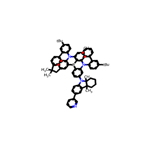 Cc1cc2c3c(c1)N(c1ccc(C(C)(C)C)cc1-c1ccccc1)c1cc4c(cc1B3c1ccc(N3c5ccc(-c6cccnc6)cc5C5(C)CCCCC35C)cc1N2c1ccc(C(C)(C)C)cc1-c1ccccc1)CC(C)(C)C4